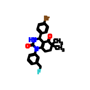 CC1(C)CCC2=C(C1=O)C(c1ccc(Br)cc1)NC(=O)N2c1cccc(CF)c1